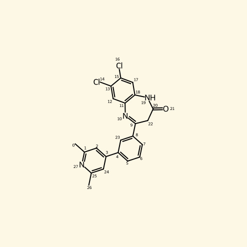 Cc1cc(-c2cccc(C3=Nc4cc(Cl)c(Cl)cc4NC(=O)C3)c2)cc(C)n1